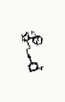 Fc1cccc(C#CCSc2nsnc2[C@@H]2CN3CCC2CC3)c1